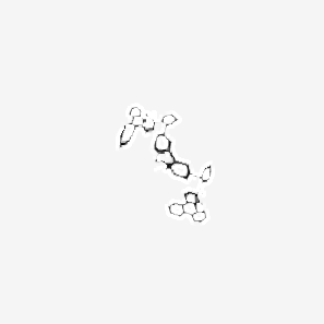 c1ccc(-c2ccc3c4ccccc4c4ccccc4c3n2)c(-c2ccc3sc4ccc(-c5ccccc5-c5ccc6c7ccccc7c7ccccc7c6n5)cc4c3c2)c1